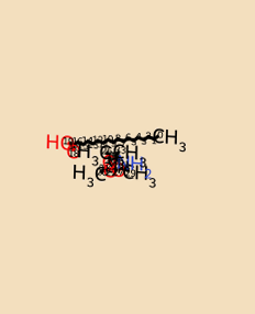 CCCCCCCCCCCCCCCCCC(=O)O.CCO[Si](OCC)(OCC)C(N)CC